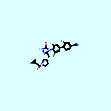 N#Cc1ccc(-c2cc(F)c(-n3c(C[C@@H]4CCN(C(=O)C5CC5)C4)n[nH]c3=O)c(F)c2)c(F)c1